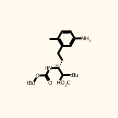 Cc1ccc(N)cc1CC[C@@H](NC(=O)OC(C)(C)C)C(C(=O)O)C(C)(C)C